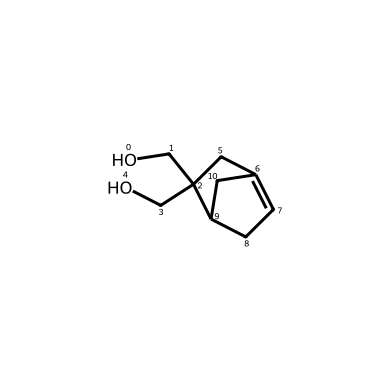 OCC1(CO)CC2=CCC1C2